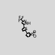 O=[SH](=O)c1cccc(-c2ccc(-c3cc(C(F)(F)F)n[nH]3)s2)c1